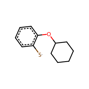 [S]c1ccccc1OC1CCCCC1